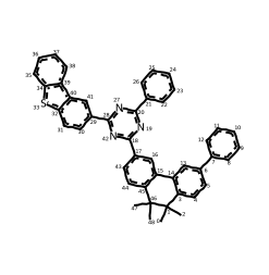 CC1(C)c2ccc(-c3ccccc3)cc2-c2cc(-c3nc(-c4ccccc4)nc(-c4ccc5sc6ccccc6c5c4)n3)ccc2C1(C)C